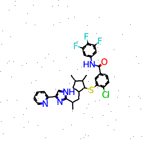 CC(CC1CC(C)C(C)C1Sc1cc(C(=O)Nc2cc(F)c(F)c(F)c2)ccc1Cl)c1nc(-c2ccccn2)c[nH]1